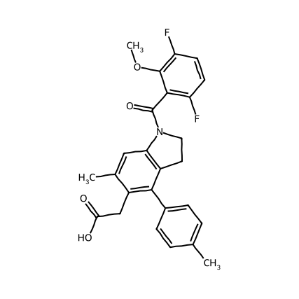 COc1c(F)ccc(F)c1C(=O)N1CCc2c1cc(C)c(CC(=O)O)c2-c1ccc(C)cc1